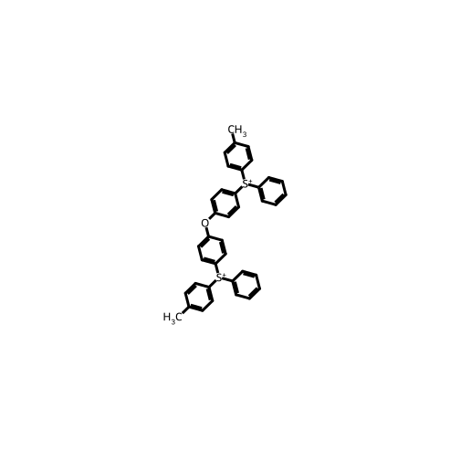 Cc1ccc([S+](c2ccccc2)c2ccc(Oc3ccc([S+](c4ccccc4)c4ccc(C)cc4)cc3)cc2)cc1